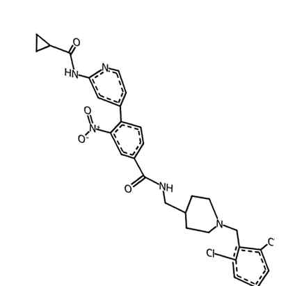 O=C(NCC1CCN(Cc2c(Cl)cccc2Cl)CC1)c1ccc(-c2ccnc(NC(=O)C3CC3)c2)c([N+](=O)[O-])c1